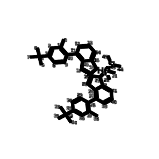 Cc1cc(C(C)(C)C)ccc1-c1cccc2c1C=C[CH]2[Hf]([CH3])([CH3])([CH]1C=Cc2c(-c3ccc(C(C)(C)C)cc3C)cccc21)=[Si](C)C